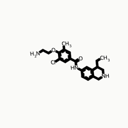 CCC1CNCc2ccc(NC(=O)c3cc(C)c(OCCN)c(Cl)c3)cc21